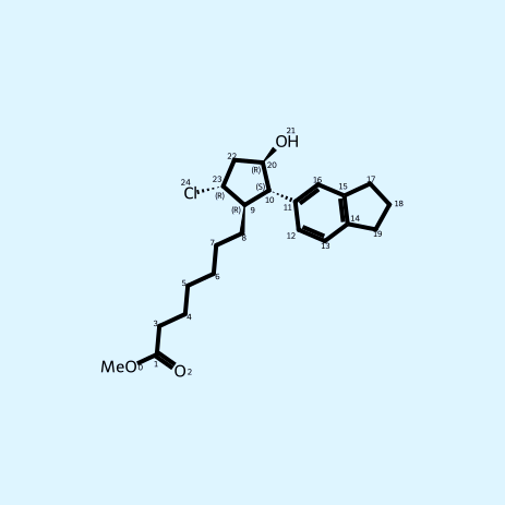 COC(=O)CCCCCC[C@@H]1[C@@H](c2ccc3c(c2)CCC3)[C@H](O)C[C@H]1Cl